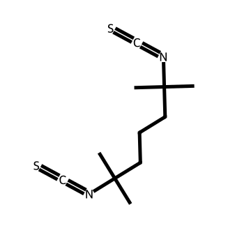 CC(C)(CCCC(C)(C)N=C=S)N=C=S